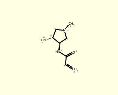 C=CC(=O)N[C@@H]1CN(C)C[C@H]1N